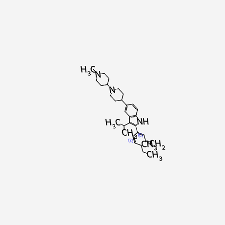 C=C/C=C(\C=C/C(C)CC)c1[nH]c2ccc(C3CCN(C4CCN(C)CC4)CC3)cc2c1C(C)C